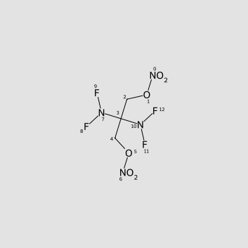 O=[N+]([O-])OCC(CO[N+](=O)[O-])(N(F)F)N(F)F